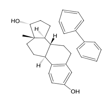 C[C@]12CC[C@@H]3c4ccc(O)cc4CC[C@H]3[C@@H]1CC[C@H]2O.c1ccc(-c2ccccc2)cc1